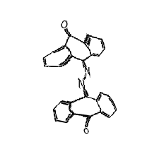 O=C1c2ccccc2C(=NN=C2c3ccccc3C(=O)c3ccccc32)c2ccccc21